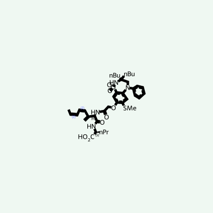 C=C(/C=C\C=C/C)[C@@H](NC(=O)COc1cc2c(cc1SC)N(c1ccccc1)CC(CCCC)(CCCC)NS2(=O)=O)C(=O)N[C@@H](CCC)C(=O)O